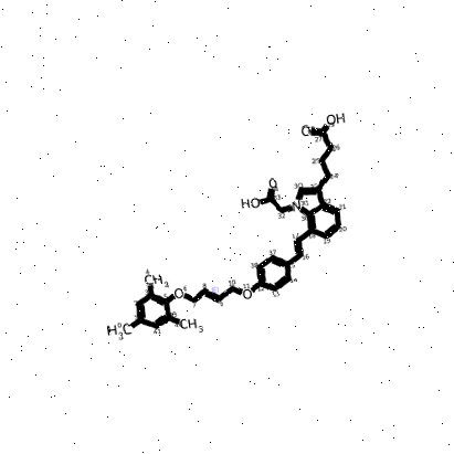 Cc1cc(C)c(OC/C=C/COc2ccc(C=Cc3cccc4c(CCCC(=O)O)cn(CC(=O)O)c34)cc2)c(C)c1